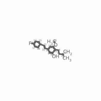 C=C(C)CCc1c(O)cc(C=Cc2ccc(F)cc2)cc1OC